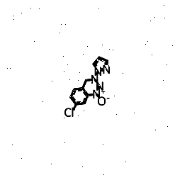 [O-][N+]1=NN(n2cccn2)Cc2ccc(Cl)cc21